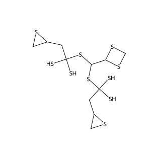 SC(S)(CC1CS1)SC(SC(S)(S)CC1CS1)C1SCS1